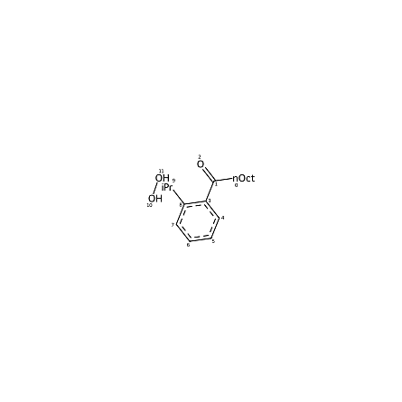 CCCCCCCCC(=O)c1ccccc1C(C)C.OO